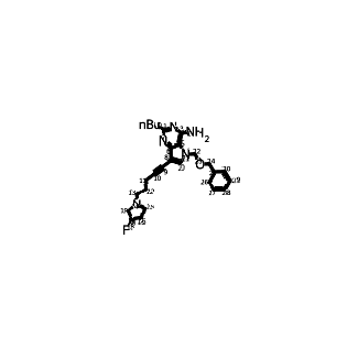 CCCCc1nc(N)c2c(n1)c(C#CCCCN1CC[C@H](F)C1)cn2COCc1ccccc1